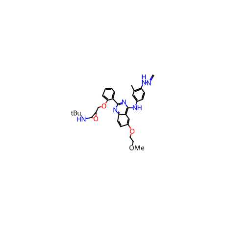 C=NNc1ccc(Nc2nc(-c3ccccc3OCC3OC3NC(C)(C)C)nc3ccc(OCCOC)cc23)cc1C